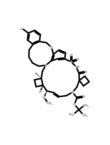 CO[C@@H]1/C=C/CN(C(=O)OC(C)(C)C)CC2(CCC2)C(=O)NS(=O)(=O)c2ccc3c(c2)N(CCCCc2cc(Cl)ccc2CO3)C[C@@H]2CC[C@H]21